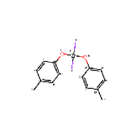 Cc1ccc([O][Zr]([I])([I])[O]c2ccc(C)cc2)cc1